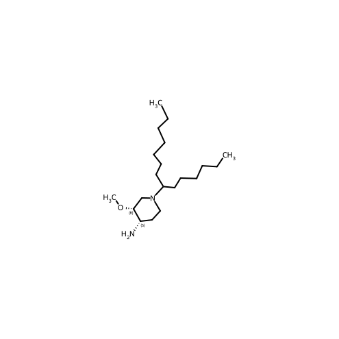 CCCCCCCC(CCCCCC)N1CC[C@H](N)[C@H](OC)C1